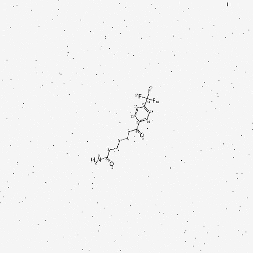 NC(=O)CCCCCC(=O)c1ccc(C(F)(F)F)cc1